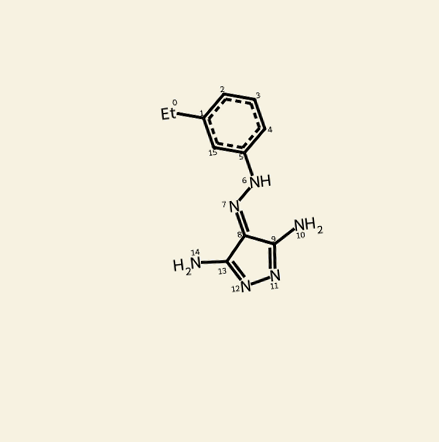 CCc1cccc(NN=C2C(N)=NN=C2N)c1